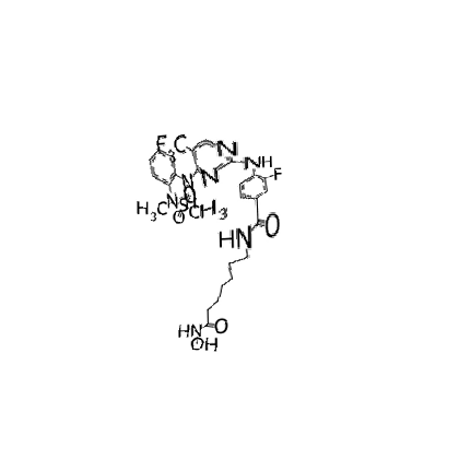 CN(c1ccccc1Nc1nc(Nc2ccc(C(=O)NCCCCCCC(=O)NO)cc2F)ncc1C(F)(F)F)S(C)(=O)=O